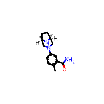 Cc1ccc(N2C[C@H]3CC[C@@H](C2)N3C)cc1C(N)=O